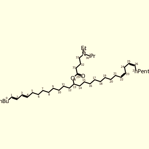 CCCC/C=C/C=C/CCCCCCCCC(CCCCCCCC/C=C\C/C=C\CCCCC)OC(=O)CCCN(CC)C(C)C